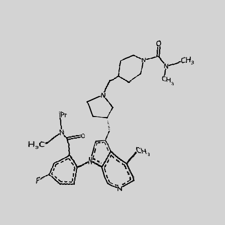 Cc1cncc2c1c(C[C@@H]1CCN(CC3CCN(C(=O)N(C)C)CC3)C1)cn2-c1ccc(F)cc1C(=O)N(C)C(C)C